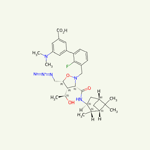 C[C@@H]1[C@@H](NC(=O)[C@@H]2[C@H]([C@H](C)O)[C@H](CN=[N+]=[N-])ON2Cc2cccc(-c3cc(C(=O)O)cc(N(C)C)c3)c2F)C[C@H]2C[C@@H]1C2(C)C